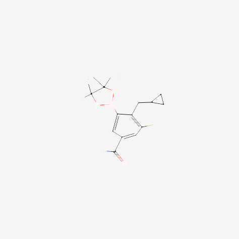 CC1(C)OB(c2cc(C(N)=O)cc(F)c2CC2CC2)OC1(C)C